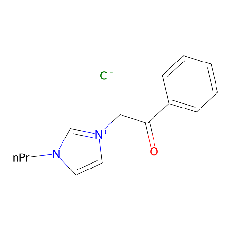 CCCn1cc[n+](CC(=O)c2ccccc2)c1.[Cl-]